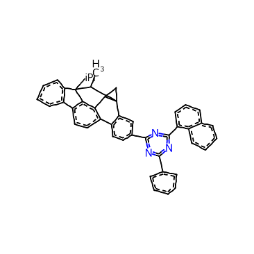 CC(C)C12c3ccccc3-c3ccc4c(c31)C1CC1(c1cc(-c3nc(-c5ccccc5)nc(-c5cccc6ccccc56)n3)ccc1-4)C2C